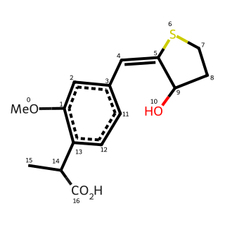 COc1cc(/C=C2/SCCC2O)ccc1C(C)C(=O)O